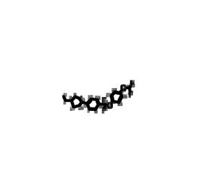 CCC1CCC(c2ccc(C(F)(F)Oc3ccc(OC(F)F)cc3)cc2)CC1